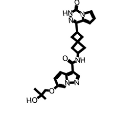 CC(C)(O)COc1ccc2c(C(=O)NC3CC4(C3)CC(c3n[nH]c(=O)n5cccc35)C4)cnn2c1